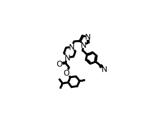 CC1CCC(C(C)C)C(OCC(=O)N2CCN(Cc3cncn3Cc3ccc(C#N)cc3)CC2)C1